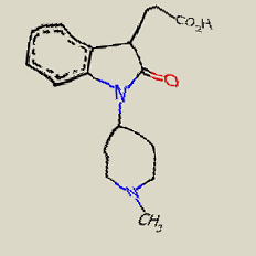 CN1CCC(N2C(=O)C(CC(=O)O)c3ccccc32)CC1